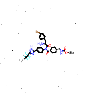 CC(C)(C)OC(=O)NC[C@H]1CC[C@H](C(=O)N(C(=O)[C@@H](N)Cc2ccc(Br)cc2)c2ccc(-c3nc(C(F)(F)C(F)(F)C(F)(F)F)n[nH]3)cc2)CC1